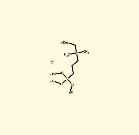 CCCCCCCCCCC[N+](C)(C)CCC[Si](OCCC)(OCCC)OCCC.[Cl-]